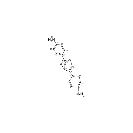 Nc1ccc(C2=CC3CCC2C=C3c2ccc(N)cc2)cc1